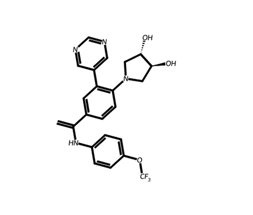 C=C(Nc1ccc(OC(F)(F)F)cc1)c1ccc(N2C[C@H](O)[C@@H](O)C2)c(-c2cncnc2)c1